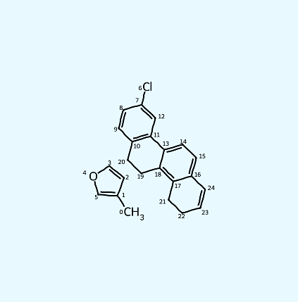 Cc1ccoc1.Clc1ccc2c(c1)-c1ccc3c(c1CC2)CCC=C3